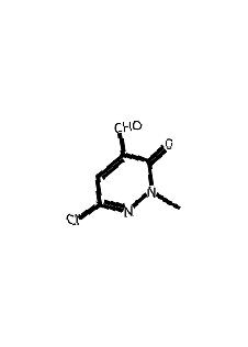 Cn1nc(Cl)cc(C=O)c1=O